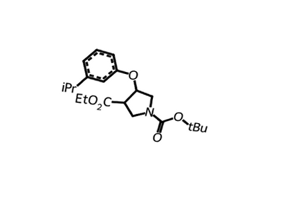 CCOC(=O)C1CN(C(=O)OC(C)(C)C)CC1Oc1cccc(C(C)C)c1